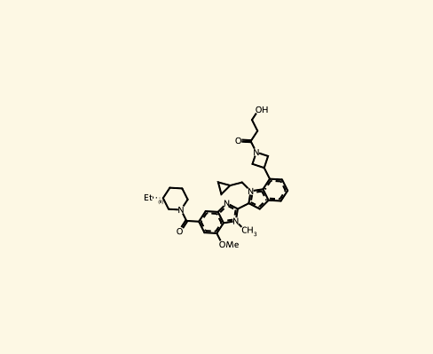 CC[C@@H]1CCCN(C(=O)c2cc(OC)c3c(c2)nc(-c2cc4cccc(C5CN(C(=O)CCO)C5)c4n2CC2CC2)n3C)C1